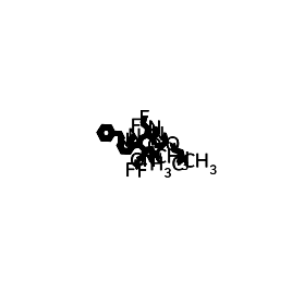 CN(C)CCO[C@@H]1COc2c(-c3nc4n(Cc5ccccc5)cccc-4c3-c3cn(C)nc3OC(F)F)c(C(F)F)nn2C1